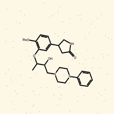 COc1ccc(C2CNC(=O)C2)cc1OC(C)C(O)CN1CCN(c2ccccc2)CC1